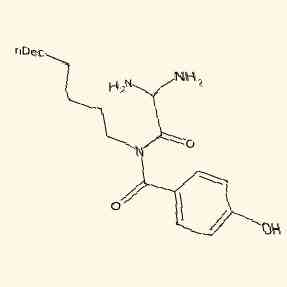 CCCCCCCCCCCCCCN(C(=O)c1ccc(O)cc1)C(=O)C(N)N